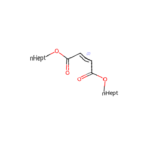 CCCCCCCOC(=O)/C=C\C(=O)OCCCCCCC